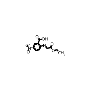 CCOC(=O)C=Nc1ccc([N+](=O)[O-])cc1C(=O)O